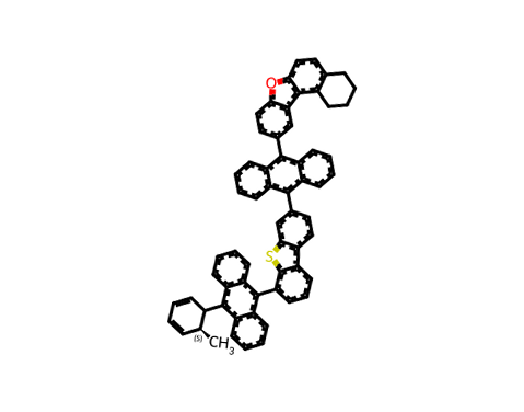 C[C@H]1C=CC=CC1c1c2ccccc2c(-c2cccc3c2sc2cc(-c4c5ccccc5c(-c5ccc6oc7ccc8c(c7c6c5)CCCC8)c5ccccc45)ccc23)c2ccccc12